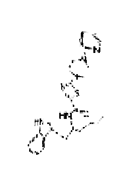 CCCCC(Cc1c[nH]c2ccccc12)NC(=O)c1cnc(N2CCN(c3ncccn3)CC2)s1